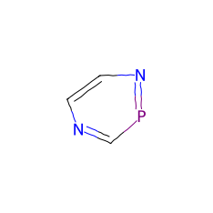 c1cnpcn1